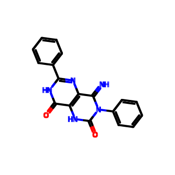 N=c1c2nc(-c3ccccc3)[nH]c(=O)c2[nH]c(=O)n1-c1ccccc1